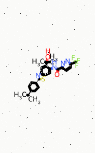 CC(C)[C@H]1CC[C@H](c2nc3cc(C(C)(C)O)c(NC(=O)c4ccc(C(F)(F)F)nn4)cc3s2)CC1